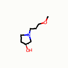 COCCCN1CC[C@H](O)C1